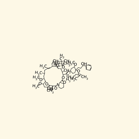 CCC1/C=C(\C)CC(C)CC(OC)C2OC(O)(C(=O)C(=O)N3CCCCC3C(=O)OC(C(C)=CC3CCC(CCC(O)c4ccccc4)(O[Si](CC)(CC)CC)C(OC)C3)C(C)C(O[Si](C)(C)C(C)(C)C)CC1=O)C(C)CC2OC